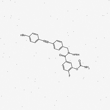 CCCCCCN(Cc1ccc(C#Cc2ccc(CCCC)cc2)cc1)C(=O)c1ccc(F)c(OC(N)=O)c1